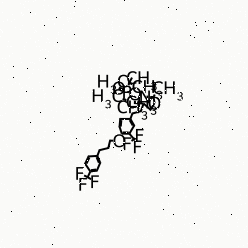 CC1=NC(CCc2ccc(OCCCc3ccc(C(F)(F)F)cc3)c(C(F)(F)F)c2)(COP(=O)(C(C)(C)C)C(C)(C)C)CO1